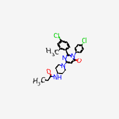 CCC(=O)NC1CCN(c2cc(=O)n(-c3ccc(Cl)cc3)c(-c3ccc(Cl)cc3C)n2)CC1